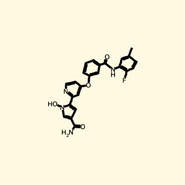 Cc1ccc(F)c(NC(=O)c2cccc(Oc3ccnc(-c4cc(C(N)=O)cn4O)c3)c2)c1